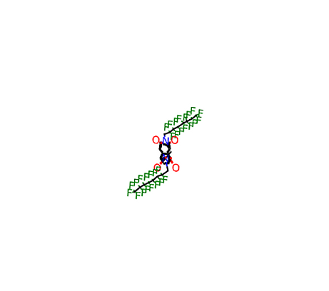 O=c1c2ccc(c(=O)n1CC(F)(F)C(F)(F)C(F)(F)C(F)(F)C(F)(F)C(F)(F)C(F)(F)F)c1c3ccc(c(=O)n(CC(F)(F)C(F)(F)C(F)(F)C(F)(F)C(F)(F)C(F)(F)C(F)(F)F)c3=O)c21